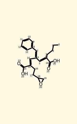 CCCCC(=CC(=Cc1ccccc1)C=C(CCC1CO1)C(=O)O)C(=O)O